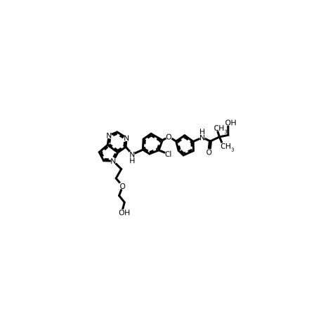 CC(C)(CO)C(=O)Nc1cccc(Oc2ccc(Nc3ncnc4ccn(CCOCCO)c34)cc2Cl)c1